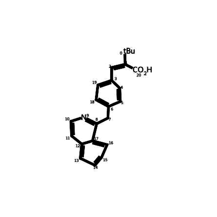 CC(C)(C)C(=Cc1ccc(Cc2nccc3ccccc23)cc1)C(=O)O